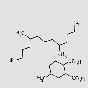 CC(C)CCCC(C)CCCC(C)CCCC(C)C.CC1CCC(C(=O)O)C(C(=O)O)C1